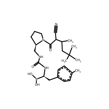 Cc1ccc(C[C@H](NC(=O)NC[C@H]2CCCN2C(=O)C(C#N)C(C)CC(C)(C)C)B(O)O)cc1